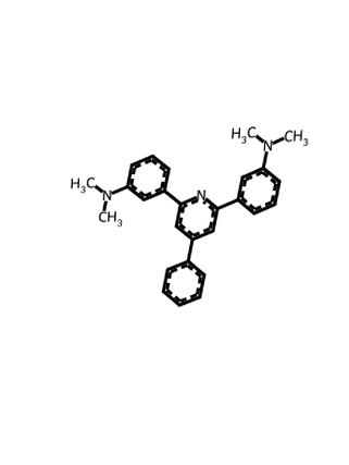 CN(C)c1cccc(-c2cc(-c3ccccc3)cc(-c3cccc(N(C)C)c3)n2)c1